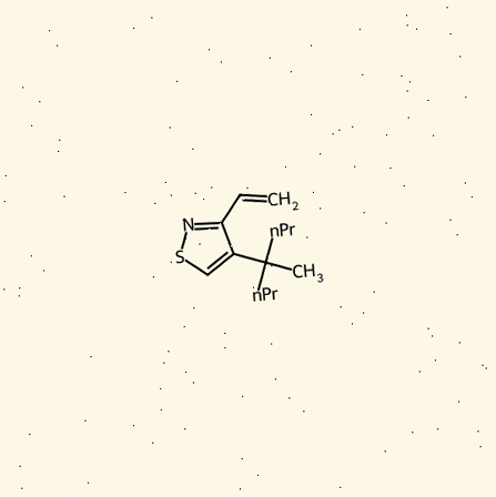 C=Cc1nscc1C(C)(CCC)CCC